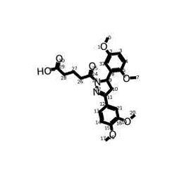 COc1ccc(OC)c(C2CC(c3ccc(OC)c(OC)c3)=NN2C(=O)CCCC(=O)O)c1